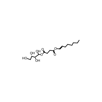 CCCCCCC=COC(=O)CCC(=O)OC(O)[C@@H](O)[C@@H](O)CO